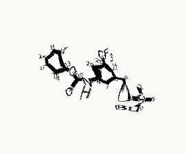 CC(C)(C)[Si](C)(C)OCc1cc(NC(=O)Oc2ccccc2)cc(C(F)(F)F)c1